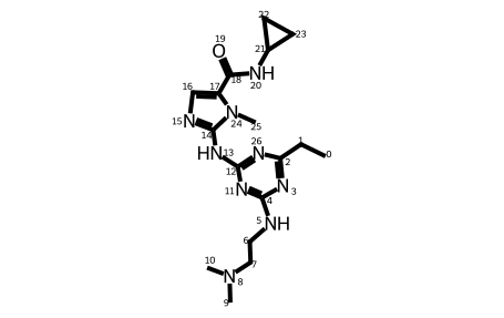 CCc1nc(NCCN(C)C)nc(Nc2ncc(C(=O)NC3CC3)n2C)n1